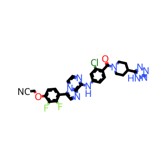 N#CCOc1ccc(-c2cnc3c(Nc4ccc(C(=O)N5CCC(c6nnn[nH]6)CC5)c(Cl)c4)nccn23)c(F)c1F